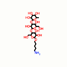 CC1O[C@@H](O[C@@H]2C(O)[C@H](O[C@@H]3C(CO)O[C@H](OCCCCCN)C(O)[C@H]3O)OC(CO)[C@H]2O)[C@@H](O)C(O)[C@H]1O